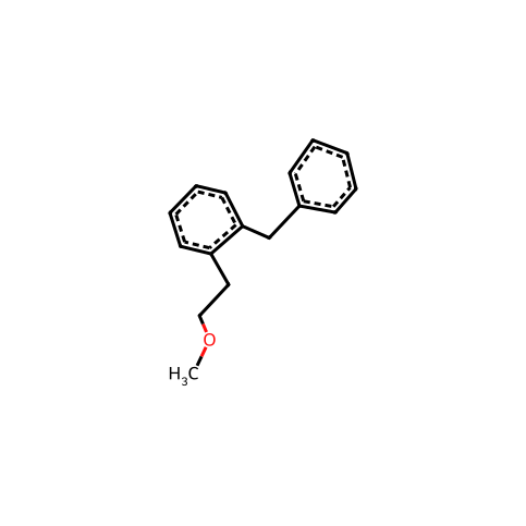 COCCc1ccccc1Cc1ccccc1